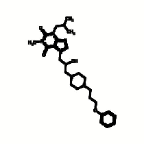 CC(C)Cn1c(=O)n(C)c(=O)c2c1ncn2CC(O)CN1CCN(CCCOc2ccccc2)CC1